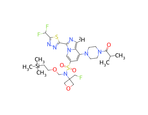 [2H]c1nc(-c2nnc(C(F)F)s2)n2cc(S(=O)(=O)N(COCC[Si](C)(C)C)C3(CF)COC3)cc(N3CCN(C(=O)C(C)C)CC3)c12